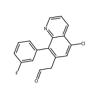 O=CCc1cc(Cl)c2cccnc2c1-c1cccc(F)c1